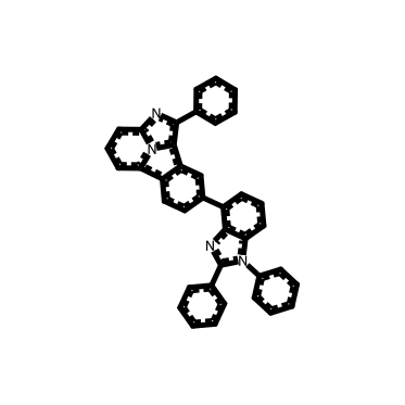 c1ccc(-c2nc3cccc4c5ccc(-c6cccc7c6nc(-c6ccccc6)n7-c6ccccc6)cc5c2n34)cc1